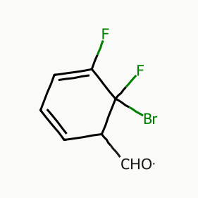 O=[C]C1C=CC=C(F)C1(F)Br